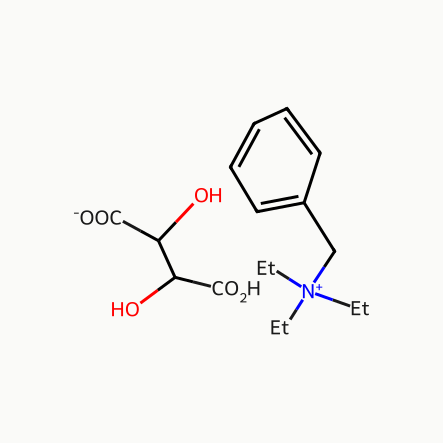 CC[N+](CC)(CC)Cc1ccccc1.O=C([O-])C(O)C(O)C(=O)O